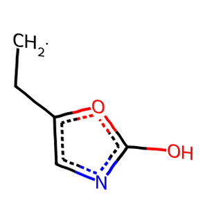 [CH2]Cc1cnc(O)o1